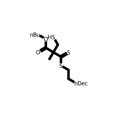 CCCCCCCCCCCCSC(=S)C(C)(CS)C(=O)OCCCC